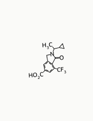 CC(C1CC1)N1Cc2cc(C(=O)O)cc(C(F)(F)F)c2C1=O